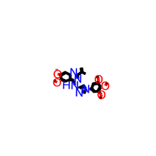 C=C(C)c1nc(Nc2cn(-c3cc(OC)c(OC)c(OC)c3)cn2)c2cc(OC)c(OC)cc2n1